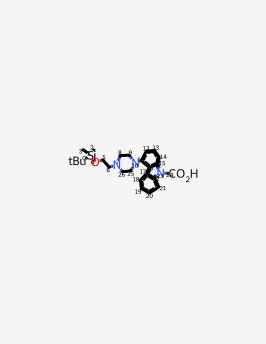 CC(C)(C)[Si](C)(C)OCCN1CCN(c2cccc3c2c2ccccc2n3C(=O)O)CC1